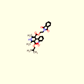 CC1=C(C(=O)OCCN2C(=O)c3ccccc3C2=O)C(c2ccccc2[N+](=O)[O-])C(C(=O)OCC(C)C)=C(C)N1